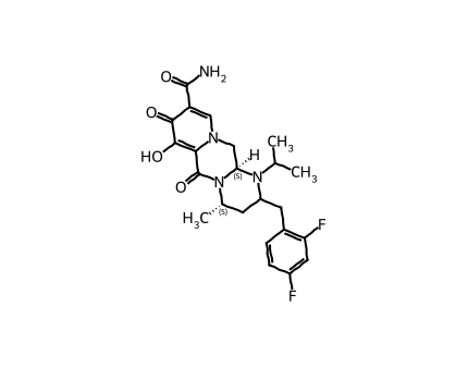 CC(C)N1C(Cc2ccc(F)cc2F)C[C@H](C)N2C(=O)c3c(O)c(=O)c(C(N)=O)cn3C[C@@H]12